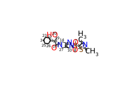 Cc1nc(C)c(S(=O)(=O)n2cc3c(n2)CN(C(=O)[C@H](CO)c2ccccc2)C3)s1